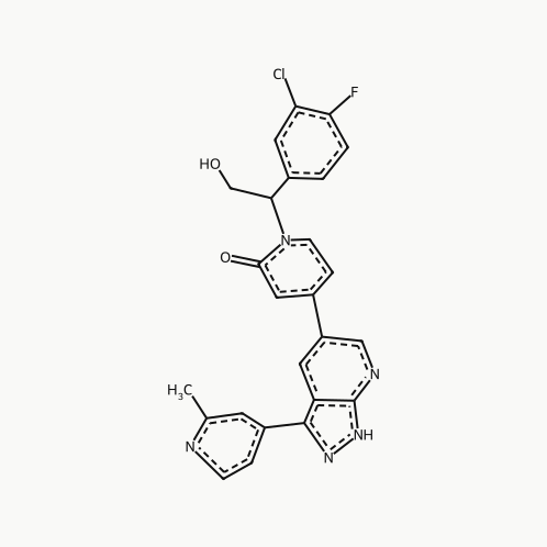 Cc1cc(-c2n[nH]c3ncc(-c4ccn(C(CO)c5ccc(F)c(Cl)c5)c(=O)c4)cc23)ccn1